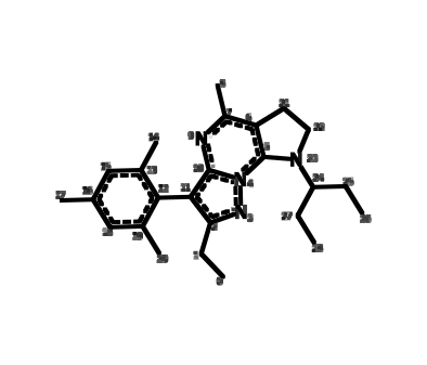 CCc1nn2c3c(c(C)nc2c1-c1c(C)cc(C)cc1C)CCN3C(CC)CC